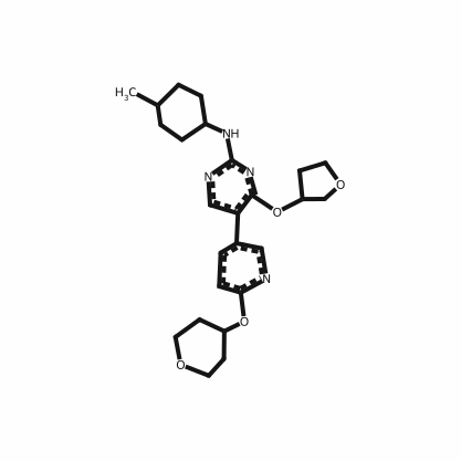 CC1CCC(Nc2ncc(-c3ccc(OC4CCOCC4)nc3)c(OC3CCOC3)n2)CC1